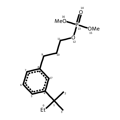 CCC(C)(C)c1cccc(CCCOP(=O)(OC)OC)c1